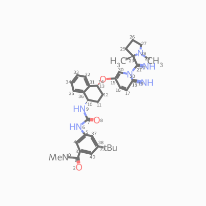 CNC(=O)c1cc(NC(=O)N[C@H]2CC[C@@H](Oc3ccc(=N)n(C(=N)[C@]4(C)CCCN4C)c3)c3ccccc32)cc(C(C)(C)C)c1